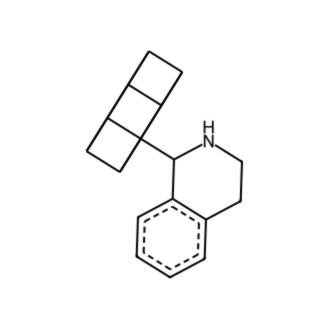 c1ccc2c(c1)CCNC2C12C3C4C5C3C1C5C42